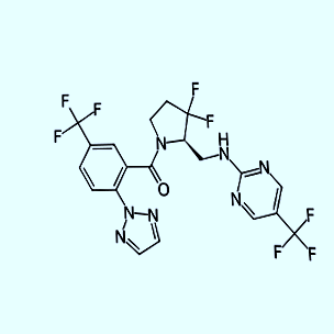 O=C(c1cc(C(F)(F)F)ccc1-n1nccn1)N1CCC(F)(F)[C@H]1CNc1ncc(C(F)(F)F)cn1